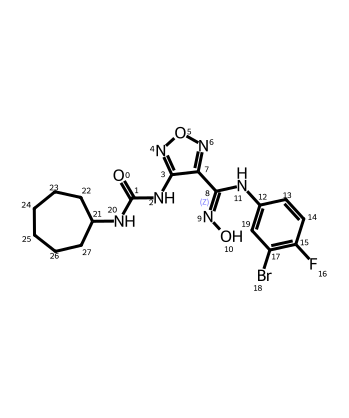 O=C(Nc1nonc1/C(=N/O)Nc1ccc(F)c(Br)c1)NC1CCCCCC1